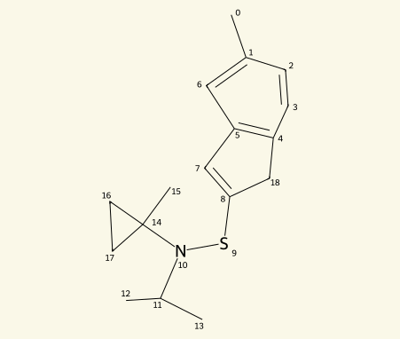 Cc1ccc2c(c1)C=C(SN(C(C)C)C1(C)CC1)C2